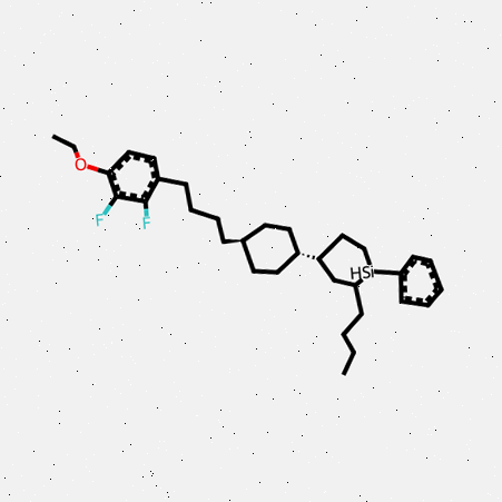 CCCCC1CC([C@H]2CC[C@H](CCCCc3ccc(OCC)c(F)c3F)CC2)CC[SiH]1c1ccccc1